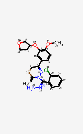 C=C1SCC(c2ccc(OC)c(OC3CCOC3)c2)=NN1/C(=N\N)c1ccccc1Cl